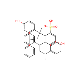 CC(CC(c1ccccc1)c1cc(O)cc(S(=O)(=O)O)c1C(C)(C)c1ccc(O)cc1C(C)(C)c1ccccc1)c1ccccc1